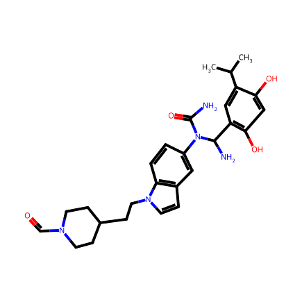 CC(C)c1cc(C(N)N(C(N)=O)c2ccc3c(ccn3CCC3CCN(C=O)CC3)c2)c(O)cc1O